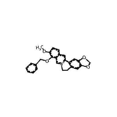 COc1ccc2cc3[n+](cc2c1OCc1ccccc1)CCc1cc2c(cc1-3)OCO2